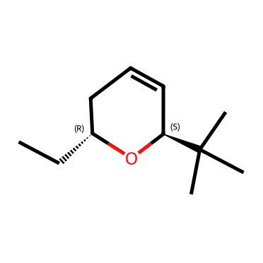 CC[C@@H]1CC=C[C@@H](C(C)(C)C)O1